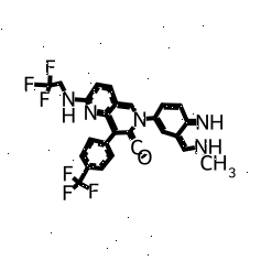 CN/C=C1/C=C(N2C=c3ccc(NCC(F)(F)F)nc3=C(c3ccc(C(F)(F)F)cc3)C2=C=O)C=CC1=N